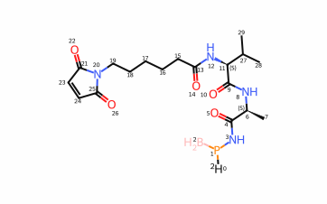 [2H]P(B)NC(=O)[C@H](C)NC(=O)[C@@H](NC(=O)CCCCCN1C(=O)C=CC1=O)C(C)C